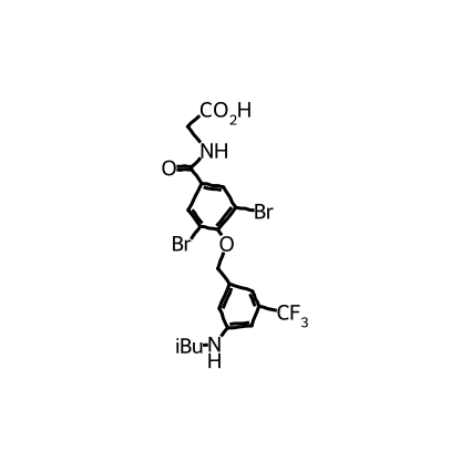 CCC(C)Nc1cc(COc2c(Br)cc(C(=O)NCC(=O)O)cc2Br)cc(C(F)(F)F)c1